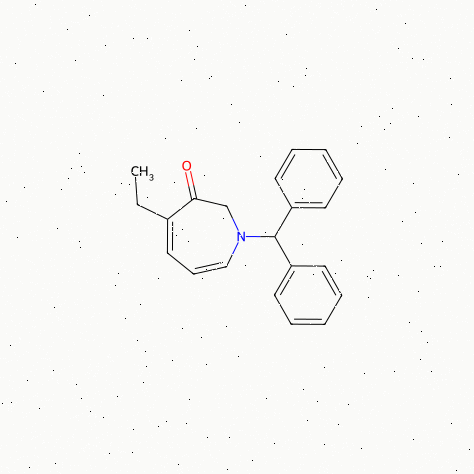 CCC1=CC=CN(C(c2ccccc2)c2ccccc2)CC1=O